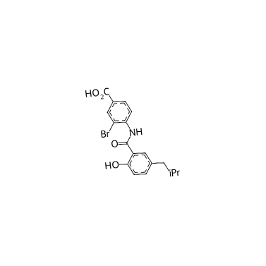 CC(C)Cc1ccc(O)c(C(=O)Nc2ccc(C(=O)O)cc2Br)c1